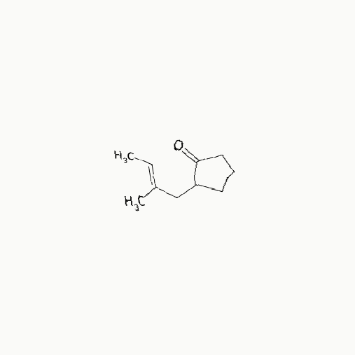 CC=C(C)CC1CCCC1=O